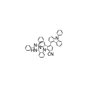 N#Cc1ccc(-c2cccc3c2c2ccccc2n3-c2ccccc2)c2c3ccccc3n(-c3ccccc3C3N=C(c4ccccc4)N=C(c4ccccc4)N3)c12